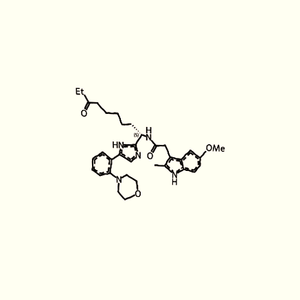 CCC(=O)CCCCC[C@H](NC(=O)Cc1c(C)[nH]c2ccc(OC)cc12)c1ncc(-c2ccccc2N2CCOCC2)[nH]1